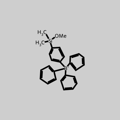 CO[Si](C)(C)c1ccc([B-](c2ccccc2)(c2ccccc2)c2ccccc2)cc1